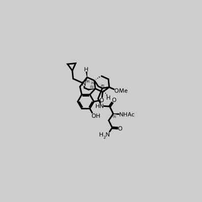 COC12CC[C@@]3(C[C@@H]1CNC(=O)[C@H](CC(N)=O)NC(C)=O)[C@H]1Cc4ccc(O)c5c4[C@@]3(CCN1CC1CC1)C2O5